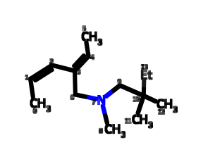 C/C=C\C(=C/C)CN(C)CC(C)(C)CC